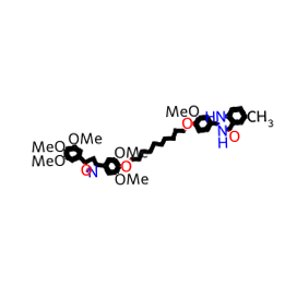 COc1cc(C2NC(=O)c3cc(C)ccc3N2)ccc1OCCCCCCCCCCOc1c(OC)cc(C2=NOC(c3cc(OC)c(OC)c(OC)c3)C2)cc1OC